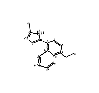 CCc1ccc(-c2cnc(C)[nH]2)c2cnccc12